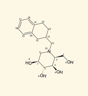 OC[C@H]1[C@@H](O)[C@H](O)[C@@H](O)CN1CC1CCc2ccccc2C1